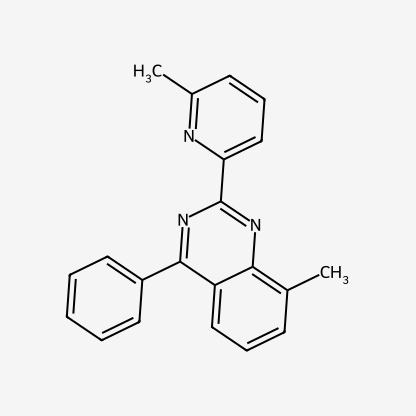 Cc1cccc(-c2nc(-c3ccccc3)c3cccc(C)c3n2)n1